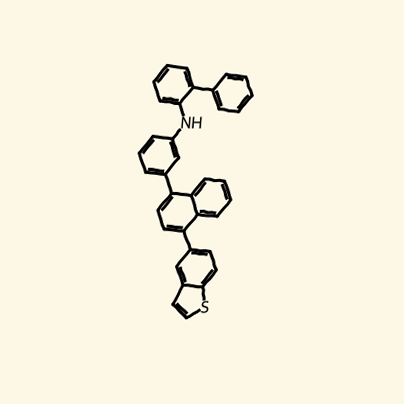 c1ccc(-c2ccccc2Nc2cccc(-c3ccc(-c4ccc5sccc5c4)c4ccccc34)c2)cc1